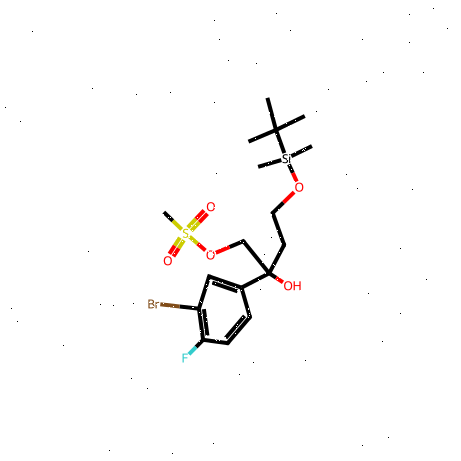 CC(C)(C)[Si](C)(C)OCCC(O)(COS(C)(=O)=O)c1ccc(F)c(Br)c1